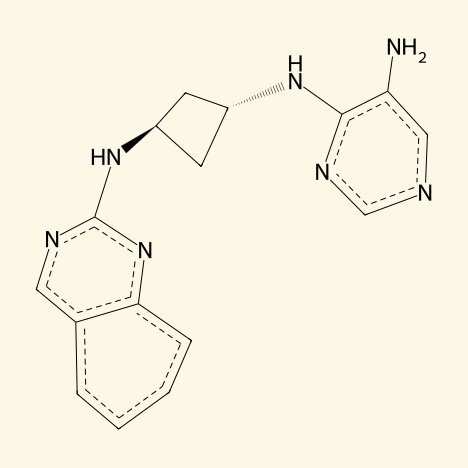 Nc1cncnc1N[C@H]1C[C@H](Nc2ncc3ccccc3n2)C1